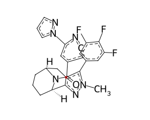 Cn1nc2c(c1-c1cc(F)c(F)c(F)c1)C[C@@H]1CCC[C@H]2N1C(=O)c1ccnc(-n2cccn2)c1